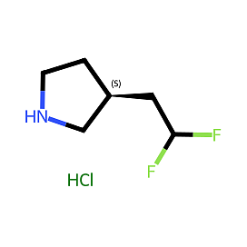 Cl.FC(F)C[C@@H]1CCNC1